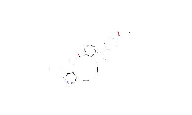 CCN(c1cccc2c1C/C=C\CCCc1cc(C)nc(OC)c1CNC2=O)C1CCN(C(=O)OC(C)(C)C)CC1